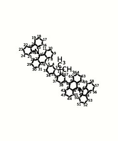 CC1(C)c2cc(-c3c4ccccc4c(-n4c5ccccc5c5ccccc54)c4ccccc34)ccc2-c2ccc(-c3c4ccccc4c(-n4c5ccccc5c5ccccc54)c4ccccc34)cc21